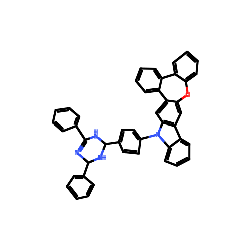 c1ccc(C2=NC(c3ccccc3)NC(c3ccc(-n4c5ccccc5c5cc6c(cc54)-c4ccccc4-c4ccccc4O6)cc3)N2)cc1